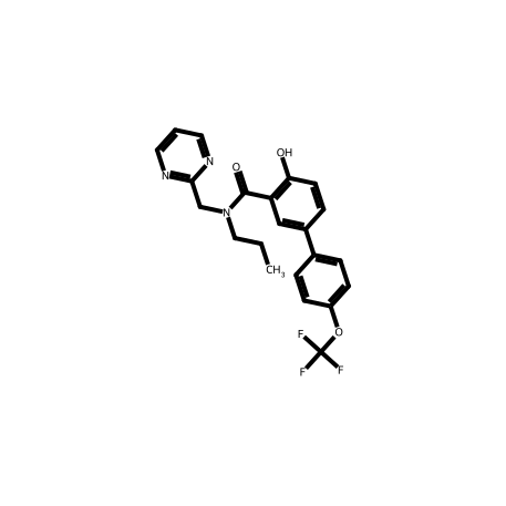 CCCN(Cc1ncccn1)C(=O)c1cc(-c2ccc(OC(F)(F)F)cc2)ccc1O